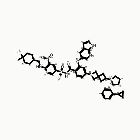 CC1(O)CCC(CNc2ncc(S(=O)(=O)NC(=O)c3ccc(N4CC5(CC(N6CCC[C@@H]6c6ccccc6C6CC6)C5)C4)cc3Oc3cnc4[nH]ccc4c3)cc2[N+](=O)[O-])CC1